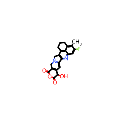 Cc1c(F)cc2nc3c(c4c2c1CCC4)CN1CC2=C(C=C31)C(O)C(=O)OC2=O